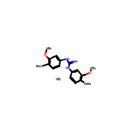 Br.CCCCOc1cc(NC(=N)Nc2ccc(OC)c(OCCCC)c2)ccc1OC